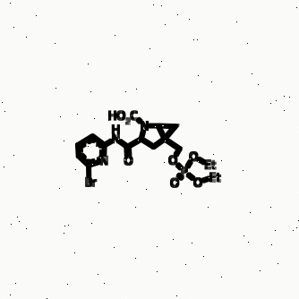 CCOP(=O)(OCC)OCC12CC(C(=O)Nc3cccc(Br)n3)N(C(=O)O)C1C2